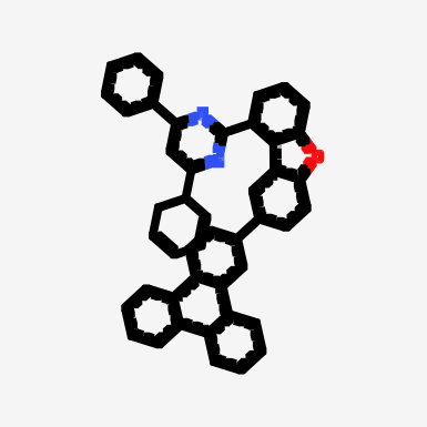 C1=CCC(c2cc(-c3ccccc3)nc(-c3cccc4oc5ccc(-c6ccc7c8ccccc8c8ccccc8c7c6)cc5c34)n2)C=C1